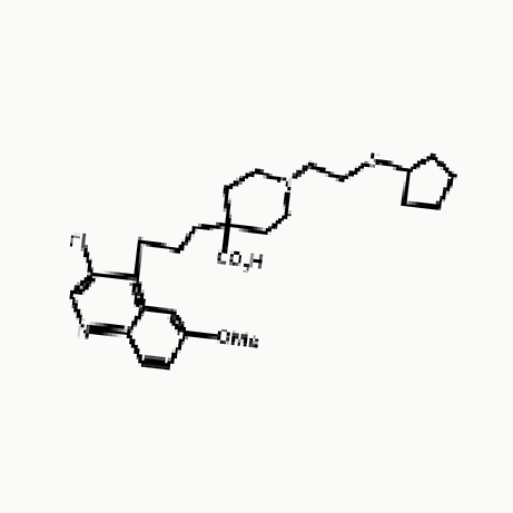 COc1ccc2ncc(Cl)c(CCCC3(C(=O)O)CCN(CCSC4CCCC4)CC3)c2c1